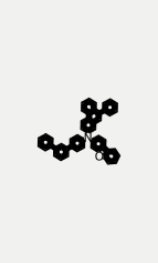 c1ccc(-c2cccc(-c3ccc(N(c4ccc5c(c4)cc(-c4ccccc4)c4ccccc45)c4ccc5c(c4)oc4ccccc45)cc3)c2)cc1